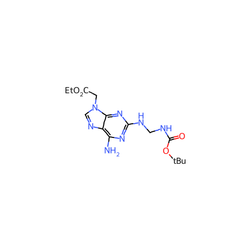 CCOC(=O)Cn1cnc2c(N)nc(NCNC(=O)OC(C)(C)C)nc21